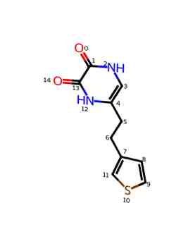 O=c1[nH]cc(CCc2ccsc2)[nH]c1=O